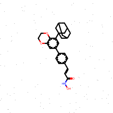 O=C(/C=C/c1ccc(-c2cc3c(c(C45CC6CC(CC(C6)C4)C5)c2)OCCO3)cc1)NO